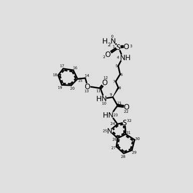 NS(=O)(=O)NCCCC[C@H](NC(=O)OCc1ccccc1)C(=O)Nc1nc2ccccc2s1